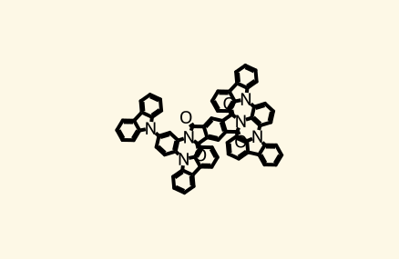 O=c1c2cc3c(=O)n(-c4c(-n5c6ccccc6c6ccccc65)cccc4-n4c5ccccc5c5ccccc54)c(=O)c3cc2c(=O)n1-c1cc(-n2c3ccccc3c3ccccc32)ccc1-n1c2ccccc2c2ccccc21